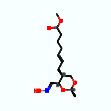 COC(=O)CCCC=CC[C@H]1CO[C@@H](C)O[C@H]1C=NO